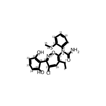 CCC1=C(N(C(N)=O)c2ccccc2SC)ON=C(c2c(O)cccc2O)C(Cl)=C1